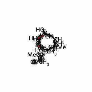 CO[C@@H]1C[C@H](CC(C)[C@@H]2CC(=O)[C@H](C)/C=C(\C)[C@@H](O)[C@@H](OC)C(=O)[C@H](C)C[C@H](C)/C=C/C=C/C=C(\C)C(OCCO)C[C@@H]3CC[C@@H](C)[C@@](O)(O3)C(=O)C(=O)N3CCCC[C@H]3C(=O)O2)CC[C@H]1OC(=O)N(C)CCN1CCOCC1